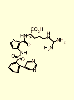 NC(N)NCCC[C@H](NC(=O)c1sccc1NS(=O)(=O)c1ccccc1-c1cncnc1)C(=O)O